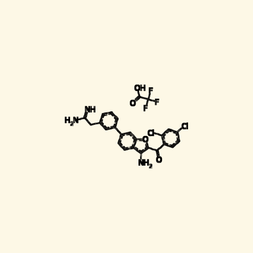 N=C(N)Cc1cccc(-c2ccc3c(N)c(C(=O)c4ccc(Cl)cc4Cl)oc3c2)c1.O=C(O)C(F)(F)F